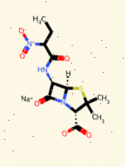 CCC(C(=O)N[C@@H]1C(=O)N2[C@@H]1SC(C)(C)[C@@H]2C(=O)[O-])[N+](=O)[O-].[Na+]